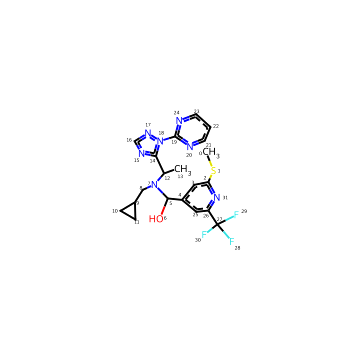 CSc1cc(C(O)N(CC2CC2)C(C)c2ncnn2-c2ncccn2)cc(C(F)(F)F)n1